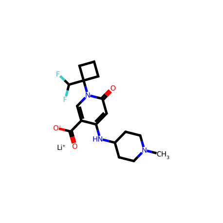 CN1CCC(Nc2cc(=O)n(C3(C(F)F)CCC3)cc2C(=O)[O-])CC1.[Li+]